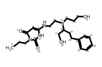 CCCn1c(=O)cc(NCCN(CCCO)C(CO)CCc2ccccc2)[nH]c1=O